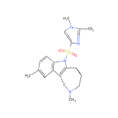 Cc1ccc2c(c1)c1c(n2S(=O)(=O)c2cn(C)c(C)n2)CCCN(C)C1